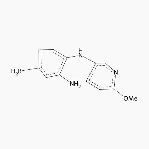 Bc1ccc(Nc2ccc(OC)nc2)c(N)c1